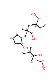 CC(C)(C)CO.CC(C)C(C)O.CCC(C)CO.CCO.OC1CCCC1